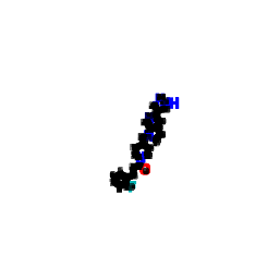 O=C(CCc1ccccc1F)N1CCC(CN2CCc3cc(C4C=NNC4)ncc32)CC1